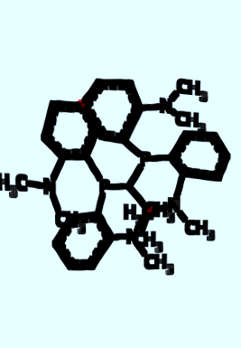 CCC(P(c1ccccc1N(C)C)c1ccccc1N(C)C)P(c1ccccc1N(C)C)c1ccccc1N(C)C